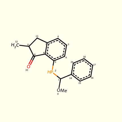 COC(Pc1cccc2c1C(=O)C(C)C2)c1ccccc1